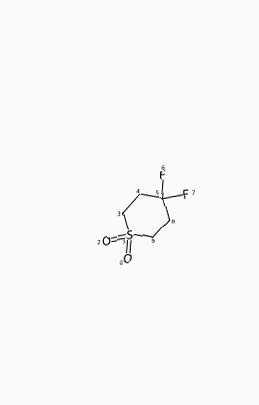 O=S1(=O)CCC(F)(F)CC1